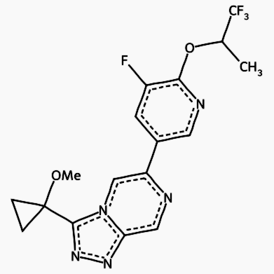 COC1(c2nnc3cnc(-c4cnc(OC(C)C(F)(F)F)c(F)c4)cn23)CC1